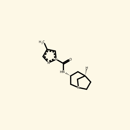 Cc1cnn(C(=O)N[C@@H]2C[C@H]3CCN(C3)C2)c1